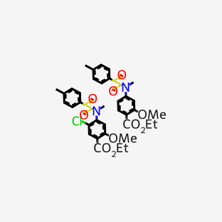 CCOC(=O)c1cc(Cl)c(N(C)S(=O)(=O)c2ccc(C)cc2)cc1OC.CCOC(=O)c1ccc(N(C)S(=O)(=O)c2ccc(C)cc2)cc1OC